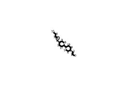 CC=C[C@H]1CC[C@H]([C@H]2CC[C@H](COCCC)CC2)CC1